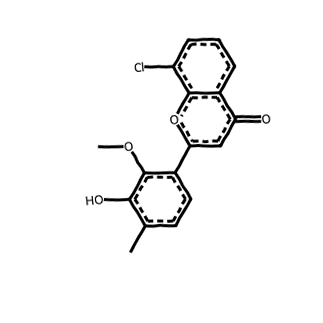 COc1c(-c2cc(=O)c3cccc(Cl)c3o2)ccc(C)c1O